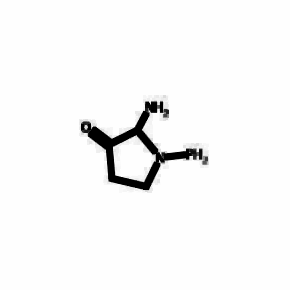 NC1C(=O)CCN1P